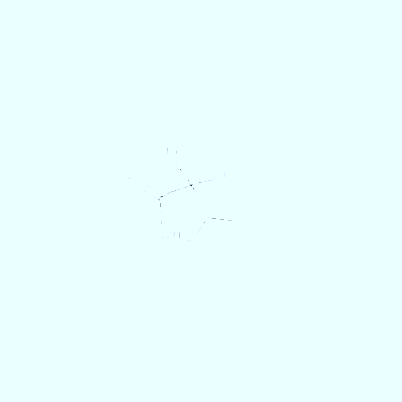 CC(C)(C)C(=O)C(O)(C(=O)O)C(O)C(=O)O